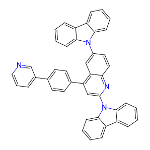 c1cncc(-c2ccc(-c3cc(-n4c5ccccc5c5ccccc54)nc4ccc(-n5c6ccccc6c6ccccc65)cc34)cc2)c1